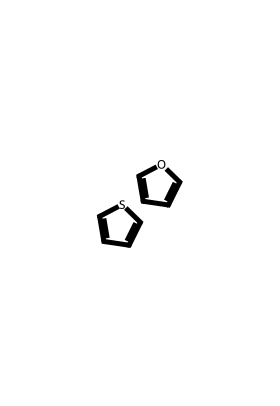 c1ccoc1.c1ccsc1